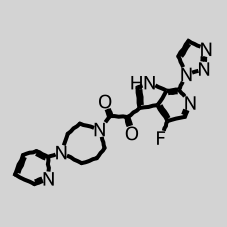 O=C(C(=O)N1CCCN(c2ccccn2)CC1)c1c[nH]c2c(-n3ccnn3)ncc(F)c12